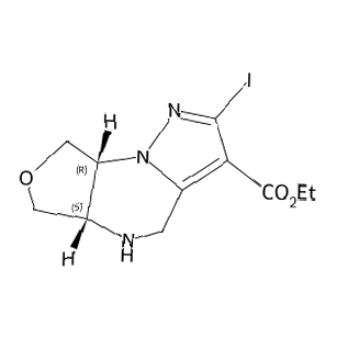 CCOC(=O)c1c(I)nn2c1CN[C@@H]1COC[C@@H]12